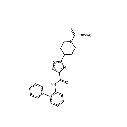 CCCCCC(=O)N1CCC(c2nc(C(=O)Nc3ccccc3-c3ccccc3)cs2)CC1